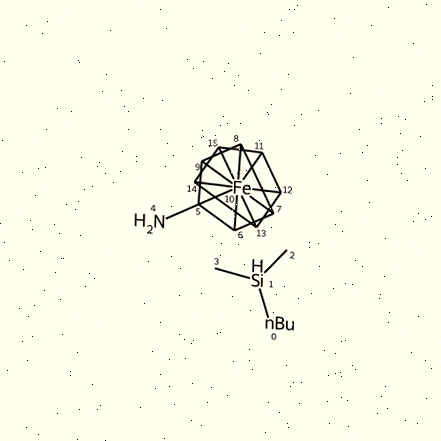 CCCC[SiH](C)C.N[C]12[CH]3[CH]4[CH]5[CH]1[Fe]45321678[CH]2[CH]1[CH]6[CH]7[CH]28